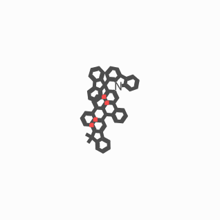 CC1(C)c2ccccc2-c2cc(C(c3ccccc3-c3ccccc3)c3ccccc3-c3ccc4c(c3)-n3c5ccccc5c5cccc(c53)C43c4ccccc4-c4ccccc43)ccc21